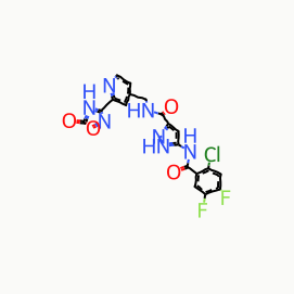 O=C(NCc1ccnc(-c2noc(=O)[nH]2)c1)c1cc(NC(=O)c2cc(F)c(F)cc2Cl)[nH]n1